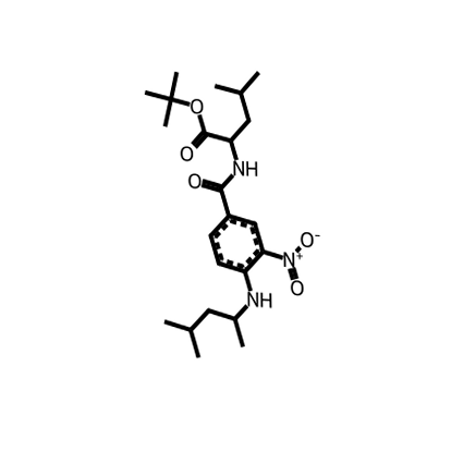 CC(C)CC(C)Nc1ccc(C(=O)NC(CC(C)C)C(=O)OC(C)(C)C)cc1[N+](=O)[O-]